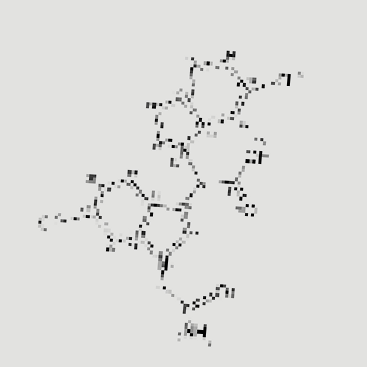 NC(=O)Cn1cc(C(C(=O)O)n2ccc3ccc(Cl)cc32)c2ccc(Cl)cc21